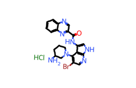 Cl.NC1CCCN(c2c(Br)cnc3[nH]cc(NC(=O)c4cnc5ccccc5n4)c23)C1